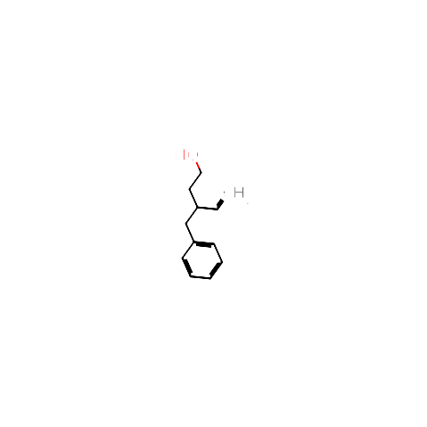 C=CC(CCO)Cc1ccccc1